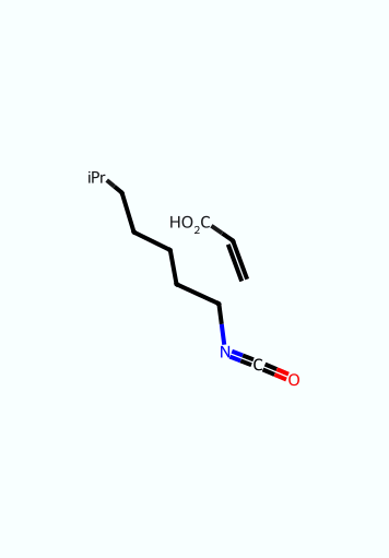 C=CC(=O)O.CC(C)CCCCCN=C=O